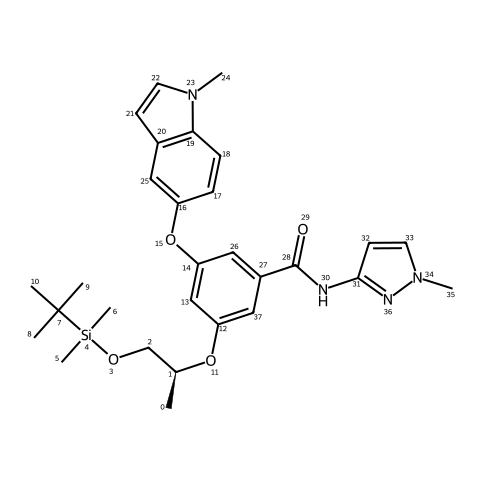 C[C@@H](CO[Si](C)(C)C(C)(C)C)Oc1cc(Oc2ccc3c(ccn3C)c2)cc(C(=O)Nc2ccn(C)n2)c1